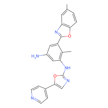 Cc1ccc2oc(-c3cc(N)cc(Nc4ncc(-c5ccncc5)o4)c3C)nc2c1